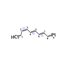 [CH-]=C\C=C/C=C/C=C/[CH]=[Pt]